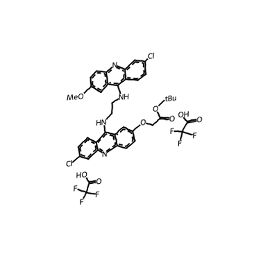 COc1ccc2nc3cc(Cl)ccc3c(NCCNc3c4ccc(Cl)cc4nc4ccc(OCC(=O)OC(C)(C)C)cc34)c2c1.O=C(O)C(F)(F)F.O=C(O)C(F)(F)F